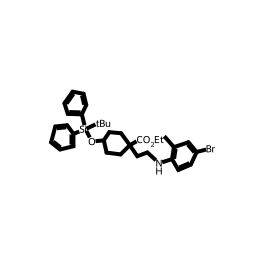 CCOC(=O)C1(CCNc2ccc(Br)cc2C)CCC(O[Si](c2ccccc2)(c2ccccc2)C(C)(C)C)CC1